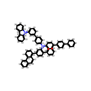 c1ccc(-c2ccc(-c3ccc(N(c4ccc(-c5cccc(-n6c7ccccc7c7ccccc76)c5)cc4)c4cc(-c5cccc6c5ccc5ccccc56)ccc4-c4ccccc4)cc3)cc2)cc1